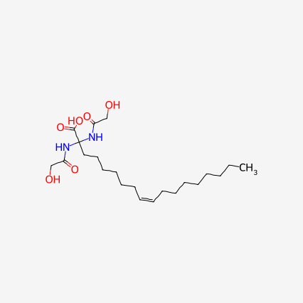 CCCCCCCC/C=C\CCCCCCC(NC(=O)CO)(NC(=O)CO)C(=O)O